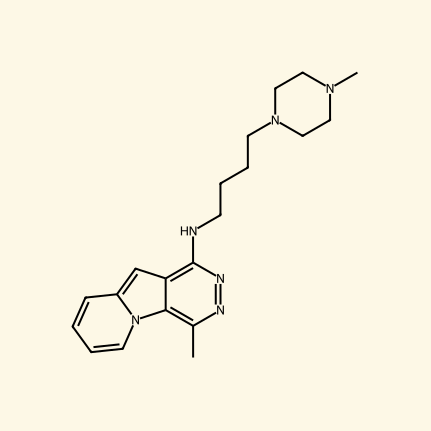 Cc1nnc(NCCCCN2CCN(C)CC2)c2cc3ccccn3c12